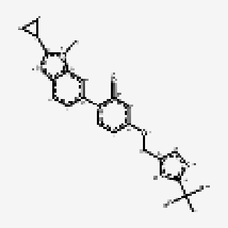 Cn1c(C2CC2)nc2ccc(-n3ccc(OCc4csc(C(C)(F)F)n4)cc3=O)cc21